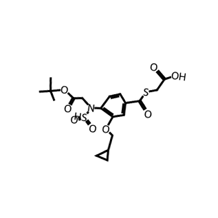 CC(C)(C)OC(=O)CN(c1ccc(C(=O)SCC(=O)O)cc1OCC1CC1)[SH](=O)=O